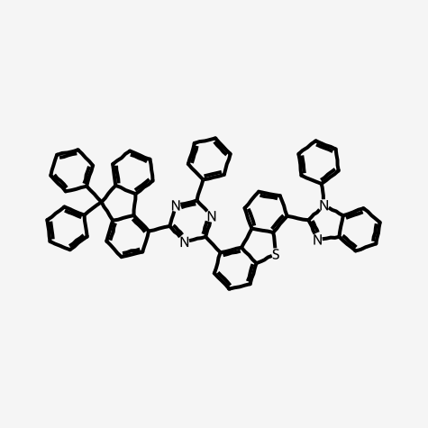 c1ccc(-c2nc(-c3cccc4c3-c3ccccc3C4(c3ccccc3)c3ccccc3)nc(-c3cccc4sc5c(-c6nc7ccccc7n6-c6ccccc6)cccc5c34)n2)cc1